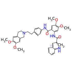 C=C(/C=C1/C=CC=CC1=N)C(=O)Nc1cc(OC)c(OC)cc1C(=O)Nc1ccc(CCN2CCc3cc(OC)c(OC)cc3C2)cc1